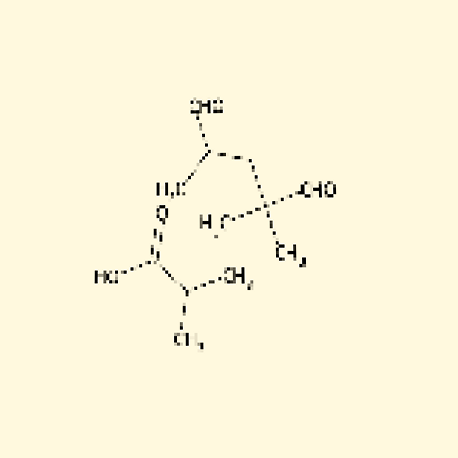 CC(C)C(=O)O.CC(C=O)CC(C)(C)C=O